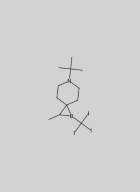 CC1B(C(I)(I)I)C12CCN(C(C)(C)C)CC2